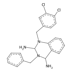 NC1c2ccccc2N(Cc2ccc(Cl)c(Cl)c2)C(N)N1Cc1ccccc1